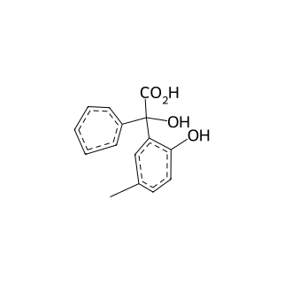 Cc1ccc(O)c(C(O)(C(=O)O)c2ccccc2)c1